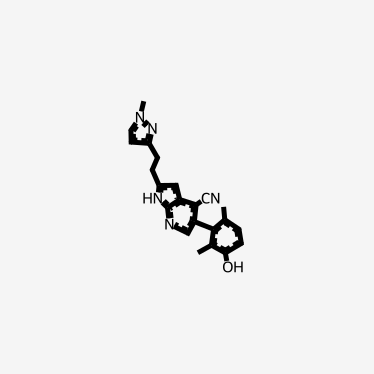 Cc1ccc(O)c(C)c1-c1cnc2[nH]c(CCc3ccn(C)n3)cc2c1C#N